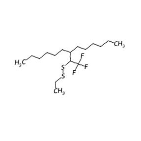 CCCCCCC(CCCCCC)C(SSCC)C(F)(F)F